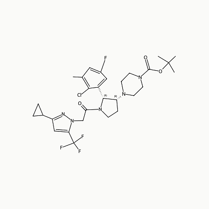 Cc1cc(F)cc([C@@H]2[C@H](N3CCN(C(=O)OC(C)(C)C)CC3)CCN2C(=O)Cn2nc(C3CC3)cc2C(F)(F)F)c1Cl